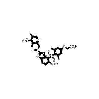 COc1ccc2[nH]c([S+]([O-])Cc3ncc(C)c(OC)c3C)nc2c1S(=O)(=O)c1c(C)cc(OCC(=O)O)cc1C